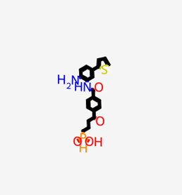 Nc1ccc(-c2cccs2)cc1NC(=O)c1ccc(C(=O)CCC[PH](=O)O)cc1